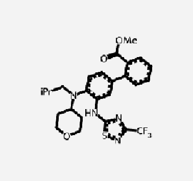 COC(=O)c1ccccc1-c1ccc(N(CC(C)C)C2CCOCC2)c(Nc2nc(C(F)(F)F)ns2)c1